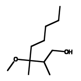 CCCCCC(C)(OC)C(C)CO